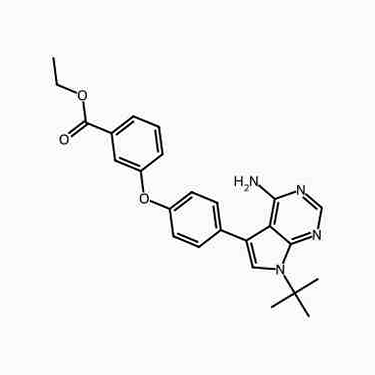 CCOC(=O)c1cccc(Oc2ccc(-c3cn(C(C)(C)C)c4ncnc(N)c34)cc2)c1